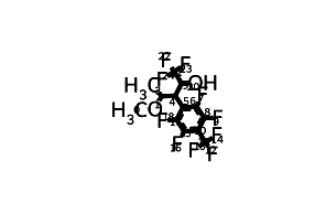 COC(C)C(c1c(F)c(F)c(C(F)(F)F)c(F)c1F)C(O)C(F)(F)F